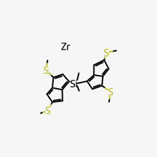 CSC1=CC2=C([Si](C)(C)C3=C4C=C(SC)C=C4C(SC)=C3)C=C(SC)C2=C1.[Zr]